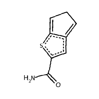 NC(=O)c1cc2c(s1)=CCC=2